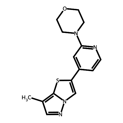 Cc1cnn2cc(-c3ccnc(N4CCOCC4)c3)sc12